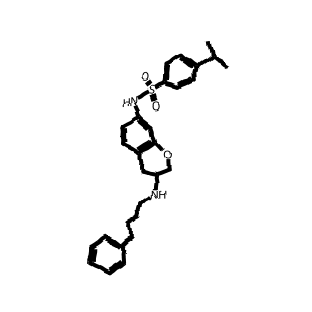 CC(C)c1ccc(S(=O)(=O)Nc2ccc3c(c2)OCC(NCCCCc2ccccc2)C3)cc1